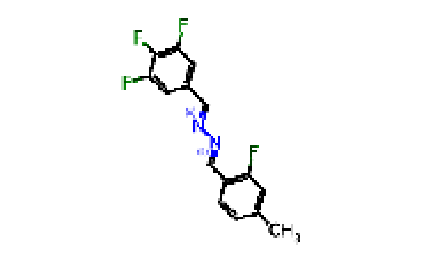 Cc1ccc(/C=N/N=C/c2cc(F)c(F)c(F)c2)c(F)c1